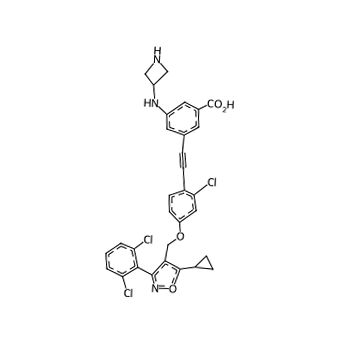 O=C(O)c1cc(C#Cc2ccc(OCc3c(-c4c(Cl)cccc4Cl)noc3C3CC3)cc2Cl)cc(NC2CNC2)c1